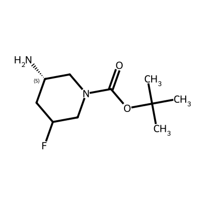 CC(C)(C)OC(=O)N1CC(F)C[C@H](N)C1